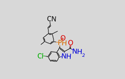 Cc1cc(C=CC#N)c(C)c([PH](=O)c2c(C(N)=O)[nH]c3ccc(Cl)cc23)c1